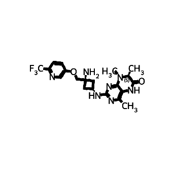 Cc1nc(N[C@H]2C[C@@](N)(COc3ccc(C(F)(F)F)nc3)C2)nc2c1NC(=O)[C@H](C)N2C